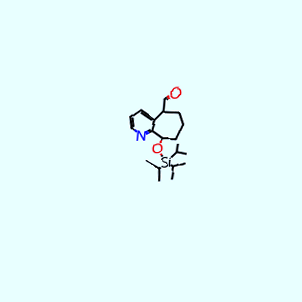 CC(C)[Si](O[C@@H]1CCCC(C=O)c2cccnc21)(C(C)C)C(C)C